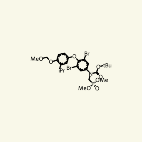 COCOc1ccc(Oc2c(Br)cc(N(CP(=O)(OC)OC)C(=O)OC(C)(C)C)cc2Br)cc1C(C)C